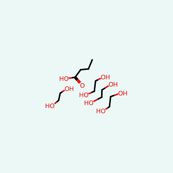 CCCC(=O)O.OCCO.OCCO.OCCO.OCCO